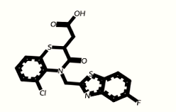 O=C(O)CC1Sc2cccc(Cl)c2N(Cc2nc3cc(F)ccc3s2)C1=O